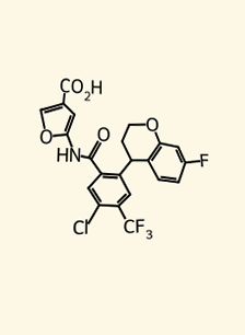 O=C(O)c1coc(NC(=O)c2cc(Cl)c(C(F)(F)F)cc2C2CCOc3cc(F)ccc32)c1